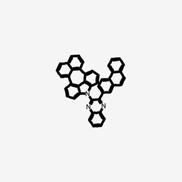 c1cc2c3c(cccc3c1)-c1cccc3c1c1c-2cccc1n3-c1nc2ccccc2nc1-c1ccc2c(ccc3ccccc32)c1